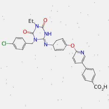 CCn1c(=O)[nH]/c(=N\C2C=CC(Oc3ccc(-c4ccc(C(=O)O)cc4)cn3)=CC2)n(Cc2ccc(Cl)cc2)c1=O